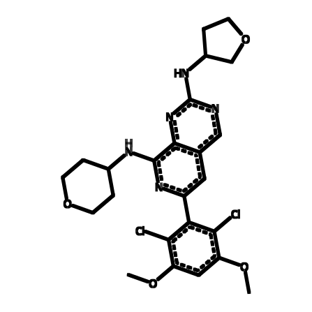 COc1cc(OC)c(Cl)c(-c2cc3cnc(NC4CCOC4)nc3c(NC3CCOCC3)n2)c1Cl